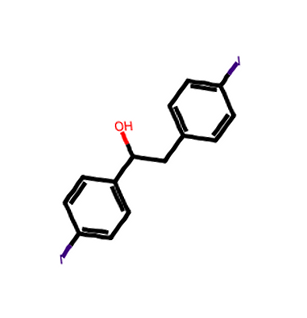 OC(Cc1ccc(I)cc1)c1ccc(I)cc1